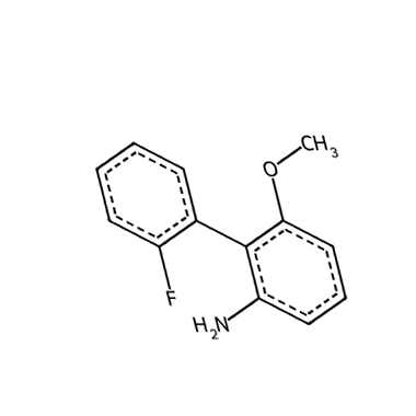 COc1cccc(N)c1-c1ccccc1F